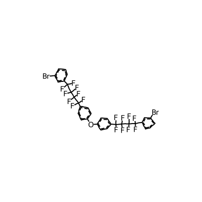 FC(F)(c1ccc(Oc2ccc(C(F)(F)C(F)(F)C(F)(F)C(F)(F)c3cccc(Br)c3)cc2)cc1)C(F)(F)C(F)(F)C(F)(F)c1cccc(Br)c1